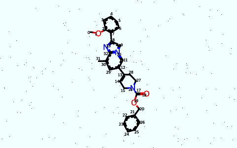 COc1ccccc1-c1cn2cc(C3=CCN(C(=O)OCc4ccccc4)CC3)cc(C)c2n1